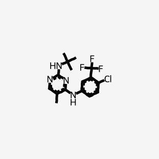 Cc1cnc(NC(C)(C)C)nc1Nc1ccc(Cl)c(C(F)(F)F)c1